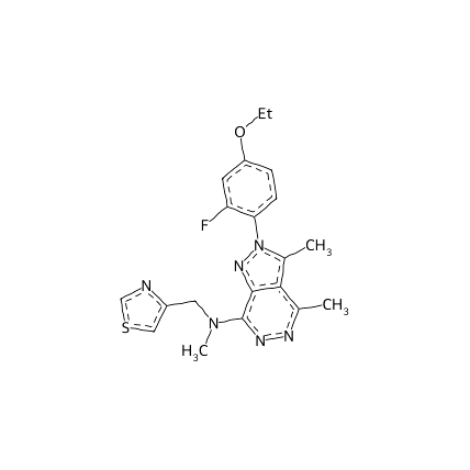 CCOc1ccc(-n2nc3c(N(C)Cc4cscn4)nnc(C)c3c2C)c(F)c1